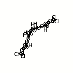 O=C(NCCOCCOCCNS(=O)(=O)c1ccc(O[C@@H]2CCc3c(Cl)cc(Cl)cc32)cc1)Nc1ccc(NC(=O)NCCOCCOCCNS(=O)(=O)c2ccc(O[C@@H]3CCc4c(Cl)cc(Cl)cc43)cc2)cc1